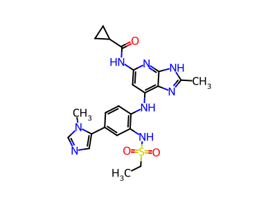 CCS(=O)(=O)Nc1cc(-c2cncn2C)ccc1Nc1cc(NC(=O)C2CC2)nc2[nH]c(C)nc12